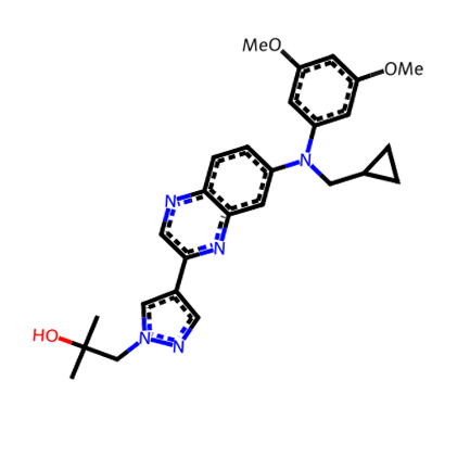 COc1cc(OC)cc(N(CC2CC2)c2ccc3ncc(-c4cnn(CC(C)(C)O)c4)nc3c2)c1